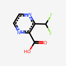 O=C(O)c1nccnc1C(F)F